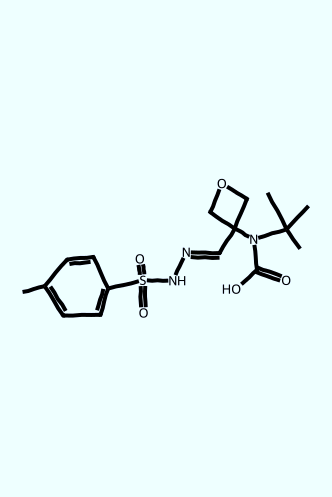 Cc1ccc(S(=O)(=O)NN=CC2(N(C(=O)O)C(C)(C)C)COC2)cc1